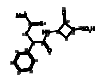 CSC(=S)SC(C(=O)NC1CN(S(=O)(=O)O)C1=O)c1ccccc1